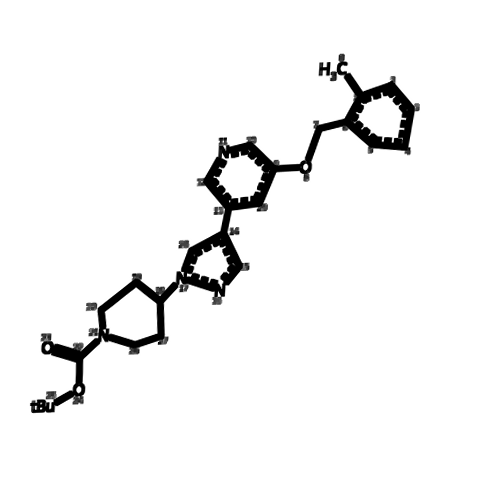 Cc1ccccc1COc1cncc(-c2cnn(C3CCN(C(=O)OC(C)(C)C)CC3)c2)c1